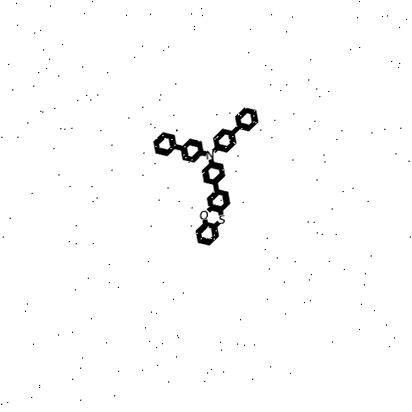 c1ccc(-c2ccc(N(c3ccc(-c4ccccc4)cc3)c3ccc(-c4ccc5c(c4)Oc4ccccc4S5)cc3)cc2)cc1